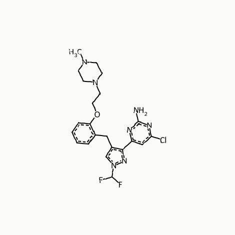 CN1CCN(CCOc2ccccc2Cc2cn(C(F)F)nc2-c2cc(Cl)nc(N)n2)CC1